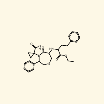 CCOC(=O)C(CCc1ccccc1)NC1CSCC(c2ccccc2)N(C2(C(=O)O)CC2)C1=O